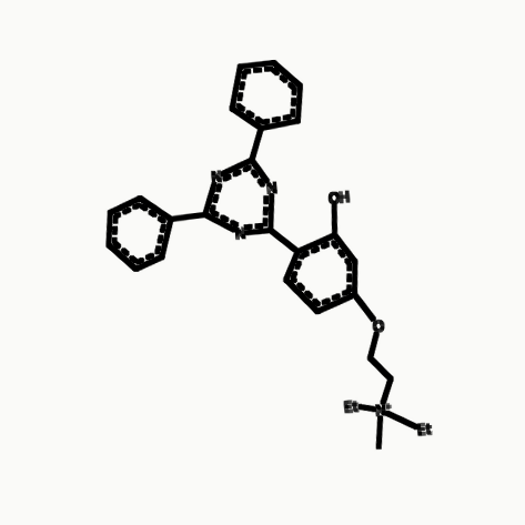 CC[N+](C)(CC)CCOc1ccc(-c2nc(-c3ccccc3)nc(-c3ccccc3)n2)c(O)c1